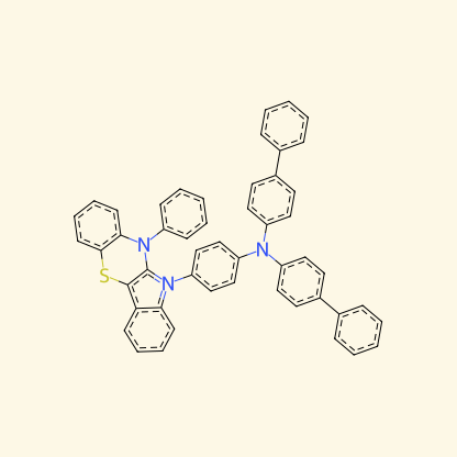 c1ccc(-c2ccc(N(c3ccc(-c4ccccc4)cc3)c3ccc(-n4c5c(c6ccccc64)Sc4ccccc4N5c4ccccc4)cc3)cc2)cc1